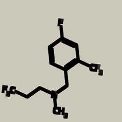 CN(CCC(F)(F)F)Cc1ccc(F)cc1C(F)(F)F